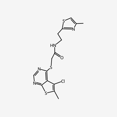 Cc1csc(CCNC(=O)CSc2ncnc3sc(C)c(Cl)c23)n1